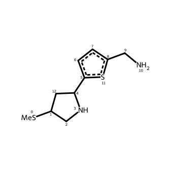 CSC1CNC(c2ccc(CN)s2)C1